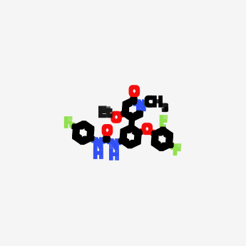 CCOc1cc(=O)n(C)cc1-c1cc(NC(=O)Nc2ccc(F)cc2)ccc1Oc1ccc(F)cc1F